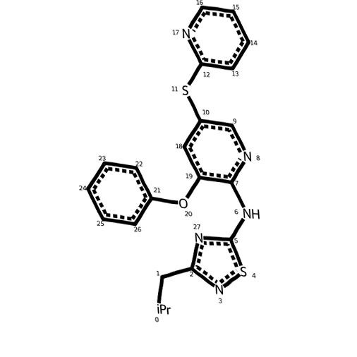 CC(C)Cc1nsc(Nc2ncc(Sc3ccccn3)cc2Oc2ccccc2)n1